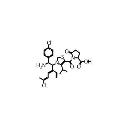 C=C/C(=C\C=C(/C)Cl)C(C(N)c1ccc(Cl)cc1)N1CSC(C(=O)N2C(=O)CCC2C(=O)O)=C1C(C)C